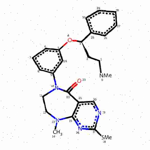 CNCC[C@@H](Oc1cccc(N2CCN(C)c3nc(SC)ncc3C2=O)c1)c1ccccc1